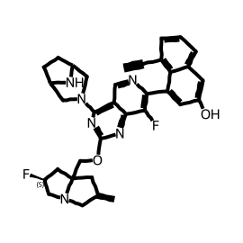 C#Cc1cccc2cc(O)cc(-c3ncc4c(N5CC6CCC(C5)N6)nc(OCC56CC(=C)CN5C[C@@H](F)C6)nc4c3F)c12